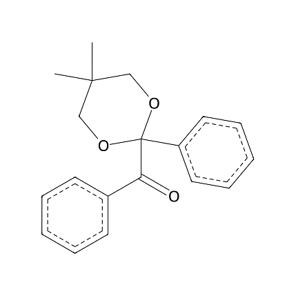 CC1(C)COC(C(=O)c2ccccc2)(c2ccccc2)OC1